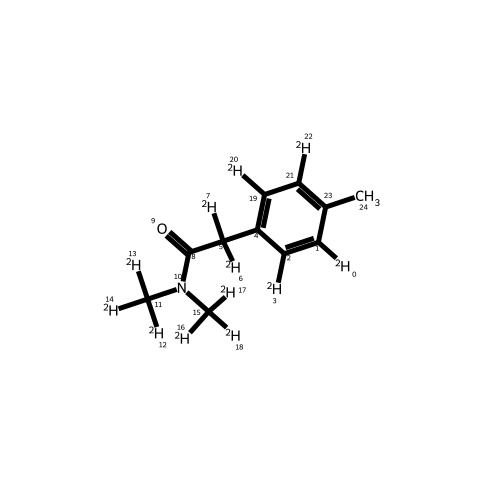 [2H]c1c([2H])c(C([2H])([2H])C(=O)N(C([2H])([2H])[2H])C([2H])([2H])[2H])c([2H])c([2H])c1C